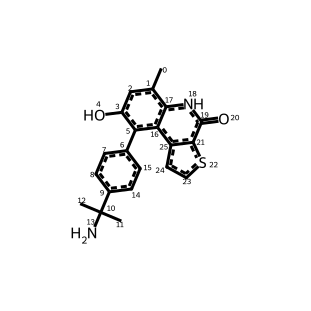 Cc1cc(O)c(-c2ccc(C(C)(C)N)cc2)c2c1[nH]c(=O)c1sccc12